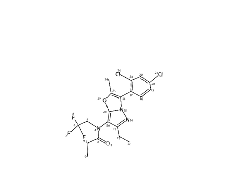 CCC(=O)N(CC(F)(F)F)c1c(CC)nn2c(-c3ccc(Cl)cc3Cl)c(C)oc12